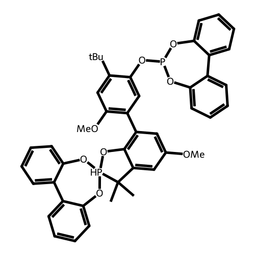 COc1cc(-c2cc(Op3oc4ccccc4c4ccccc4o3)c(C(C)(C)C)cc2OC)c2c(c1)C(C)(C)[PH]1(Oc3ccccc3-c3ccccc3O1)O2